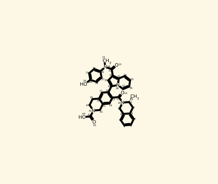 C[C@@H]1Cc2ccccc2CN1C(=O)c1cc2c(cc1-c1cc(C(=O)N(C)c3ccc(O)cc3)c3ccccn13)CCN(C(=O)O)C2